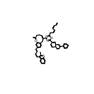 C=C/C=C\C=C/Cc1nc(C2=CC3C=C(c4ccccc4)C=CC3C=C2)nc(/C2=C/CCC(=C)Oc3cc(/C=C/C=C\c4c(C)sc5ccccc45)ccc3C2)n1